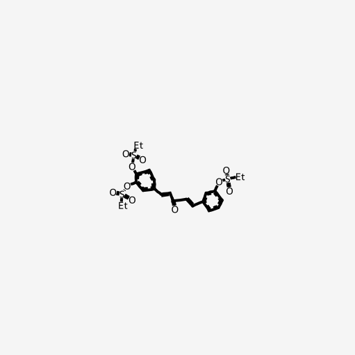 CCS(=O)(=O)Oc1cccc(/C=C/C(=O)/C=C/c2ccc(OS(=O)(=O)CC)c(OS(=O)(=O)CC)c2)c1